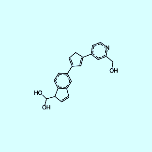 OCc1cc(C2=CC(c3ccc4c(c3)C=CC4C(O)O)=CC2)ccn1